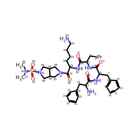 CC(C)CC(NC(=O)C(Cc1ccccc1)NC(=O)C(N)Cc1ccccc1)C(=O)NC(CCCCN)C(=O)N1CC2CN(S(=O)(=O)N(C)C)CC2C1